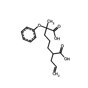 C=CCC(CCCC(C)(Oc1ccccc1)C(=O)O)C(=O)O